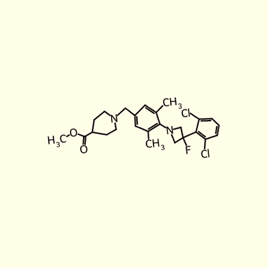 COC(=O)C1CCN(Cc2cc(C)c(N3CC(F)(c4c(Cl)cccc4Cl)C3)c(C)c2)CC1